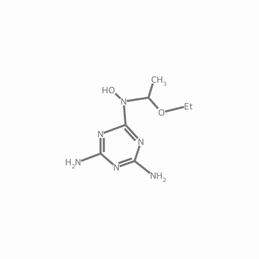 CCOC(C)N(O)c1nc(N)nc(N)n1